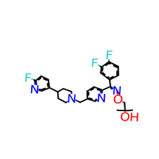 CC(C)(O)CON=C(c1ccc(F)c(F)c1)c1ccc(CN2CCC(c3ccc(F)nc3)CC2)cn1